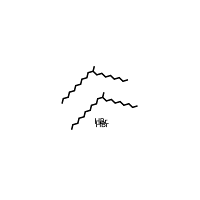 Br.Br.CCCCCCCCCCC(C)CCCCCCCC.CCCCCCCCCCC(C)CCCCCCCC